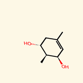 CC1=C[C@@H](O)[C@@H](C)[C@H](O)C1